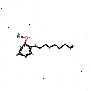 C=CCCCCCCCc1ccccc1OCC